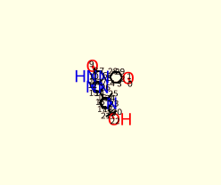 COC1CCC(N2CC(=O)Nc3ncc(-c4ccc(C(C)(C)O)nc4C)nc32)CC1